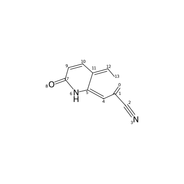 C=C(C#N)/C=c1/[nH]c(=O)cc/c1=C/C